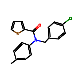 Cc1ccc(N(Cc2ccc(Cl)cc2)C(=O)c2cccs2)cc1